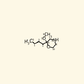 CCCCC1(OC)CNCCO1